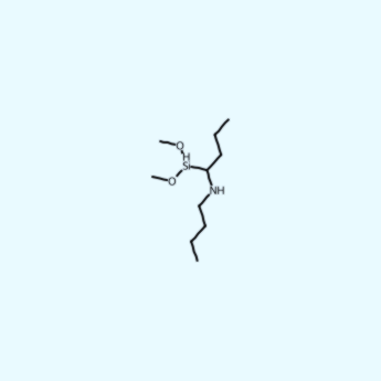 CCCCNC(CCC)[SiH](OC)OC